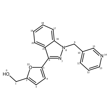 OCc1ccc(-c2nn(Cc3cccnc3)c3ccccc23)o1